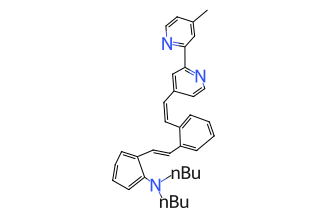 CCCCN(CCCC)c1ccccc1/C=C/c1ccccc1/C=C\c1ccnc(-c2cc(C)ccn2)c1